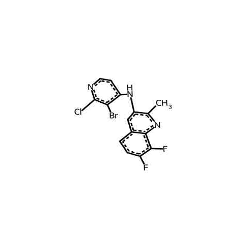 Cc1nc2c(F)c(F)ccc2cc1Nc1ccnc(Cl)c1Br